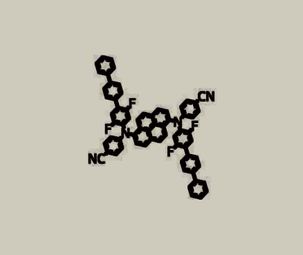 N#Cc1ccc(N(c2cc(F)c(-c3ccc(-c4ccccc4)cc3)cc2F)c2ccc3ccc4c(N(c5ccc(C#N)cc5)c5cc(F)c(-c6ccc(-c7ccccc7)cc6)cc5F)ccc5ccc2c3c54)cc1